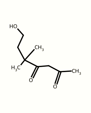 CC(=O)CC(=O)C(C)(C)CCO